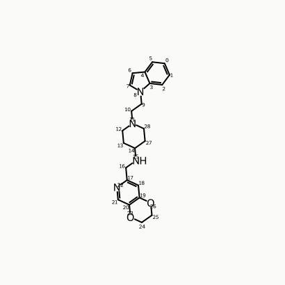 c1ccc2c(c1)ccn2CCN1CCC(NCc2cc3c(cn2)OCCO3)CC1